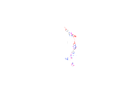 COc1ccc(C2=CN3C(=O)c4cc(OC)c(OCCCOc5cc6c(cc5OC)C(=O)N5C=C(c7ccc(NC(=O)[C@H](CCCCN(C)C)NC(=O)CCCCCN8C(=O)C=CC8=O)cc7)C[C@H]5C=N6)cc4N=C[C@@H]3C2)cc1